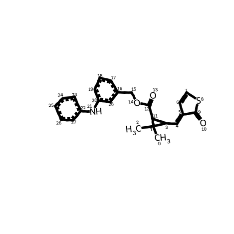 CC1(C)C(C=C2C=CSC2=O)C1C(=O)OCc1cccc(Nc2ccccc2)c1